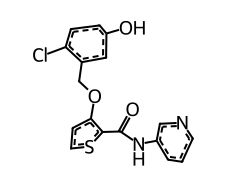 O=C(Nc1cccnc1)c1sccc1OCc1cc(O)ccc1Cl